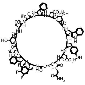 CCCC[C@H]1C(=O)N2C[C@H](O)C[C@@H]2C(=O)N[C@@H](CC(=O)O)C(=O)N[C@@H](C(C)C)C(=O)N(C)[C@@H](Cc2ccccc2)C(=O)N[C@@H](CC(=O)O)C(=O)N2C[C@H](O)C[C@H]2C(=O)N[C@@H](Cc2c[nH]c3ccccc23)C(=O)N[C@@H](Cc2ccc(O)cc2)C(=O)N[C@@H](CC(=O)O)C(=O)N[C@H](C(=O)NCC(N)=O)CSCC(=O)N[C@@H](Cc2cc(F)c(F)c(F)c2)C(=O)N(C)[C@@H](Cc2ccccc2)C(=O)N1C